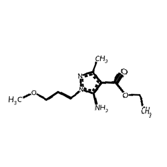 CCOC(=O)c1c(C)nn(CCCOC)c1N